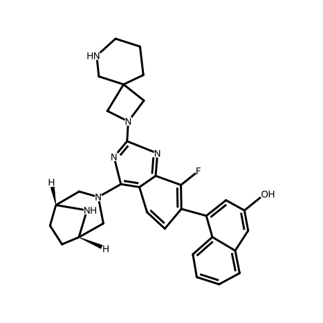 Oc1cc(-c2ccc3c(N4C[C@H]5CC[C@@H](C4)N5)nc(N4CC5(CCCNC5)C4)nc3c2F)c2ccccc2c1